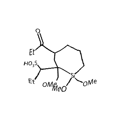 CCC(=O)C1CCC[Si](OC)(OC)C1(OC)C(CC)S(=O)(=O)O